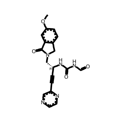 COc1ccc2c(c1)C(=O)N(C[C@@H](C#Cc1cnccn1)NC(=O)NC=O)C2